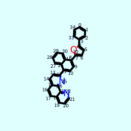 c1ccc(-c2ccc(-c3ccc(-c4ccc5ccc6cccnc6c5n4)c4ccccc34)o2)cc1